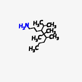 CCCC(C)C(C)(C)C(CCCN)C(C)C